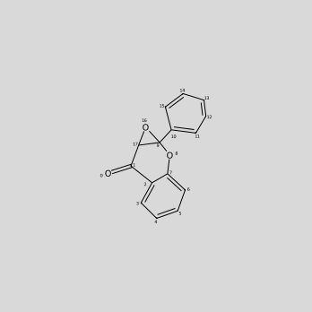 O=C1c2ccccc2OC2(c3ccccc3)OC12